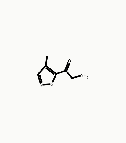 Cc1cnsc1C(=O)CN